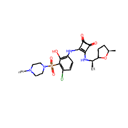 CCCN1CCN(S(=O)(=O)c2c(Cl)ccc(Nc3c(N[C@H](CC)C4CC[C@@H](C)O4)c(=O)c3=O)c2O)CC1